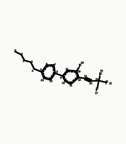 CCCCCc1ccc(-c2ccc(C#CC(F)(F)F)c(F)c2)cc1